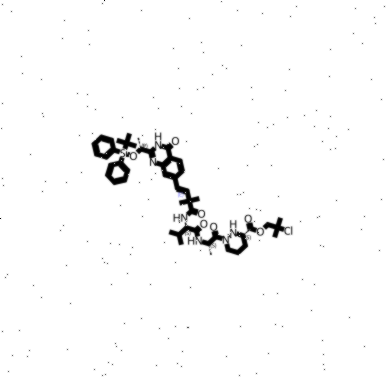 CC(C)[C@H](NC(=O)C(C)(C)/C=C/c1ccc2c(=O)[nH]c([C@@H](C)O[Si](c3ccccc3)(c3ccccc3)C(C)(C)C)nc2c1)C(=O)N[C@@H](C)C(=O)N1CCC[C@@H](C(=O)OCC(C)(C)Cl)N1